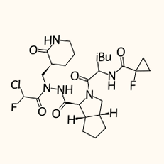 CCC(C)C(NC(=O)C1(F)CC1)C(=O)N1C[C@@H]2CCC[C@@H]2[C@H]1C(=O)NN(C[C@@H]1CCCNC1=O)C(=O)C(F)Cl